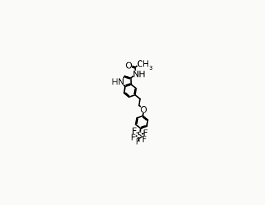 CC(=O)Nc1c[nH]c2ccc(CCOc3ccc(S(F)(F)(F)(F)F)cc3)cc12